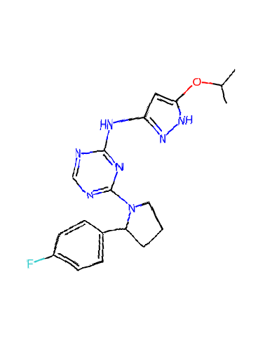 CC(C)Oc1cc(Nc2ncnc(N3CCCC3c3ccc(F)cc3)n2)n[nH]1